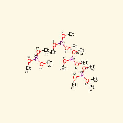 CCOP(OCC)OCC.CCOP(OCC)OCC.CCOP(OCC)OCC.CCOP(OCC)OCC.[Pt]